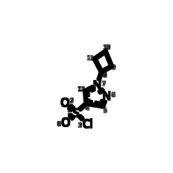 O=S(=O)(Cl)c1cnn(C2CCC2)c1